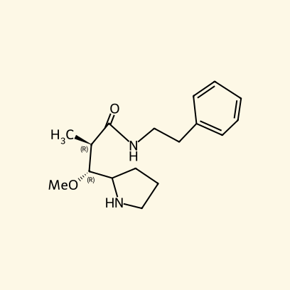 CO[C@@H](C1CCCN1)[C@@H](C)C(=O)NCCc1ccccc1